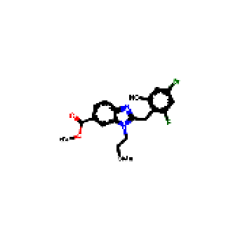 COCCn1c(Cc2c(F)cc(Br)cc2C#N)nc2ccc(C(=O)OC(C)(C)C)cc21